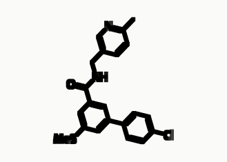 CSc1cc(C(=O)NCc2ccc(C)nc2)cc(-c2ccc(Cl)cc2)c1